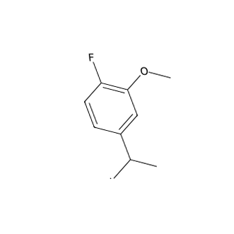 [CH2]C(C)c1ccc(F)c(OC)c1